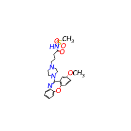 COc1ccc2c(c1)C(N1CCN(CCCC(=O)NS(C)(=O)=O)CC1)=Nc1ccccc1O2